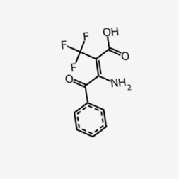 N/C(C(=O)c1ccccc1)=C(\C(=O)O)C(F)(F)F